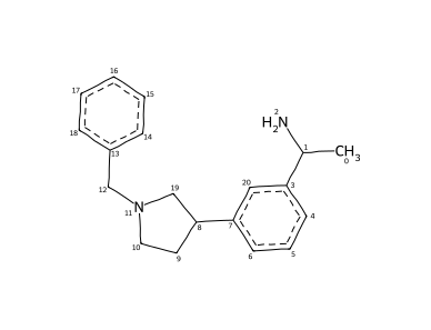 CC(N)c1cccc(C2CCN(Cc3ccccc3)C2)c1